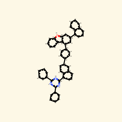 c1ccc(-c2nc(-c3ccccc3)nc(-c3cccc4cc(-c5ccc(-c6cc(-c7cccc8ccccc78)cc7oc8ccccc8c67)cc5)ccc34)n2)cc1